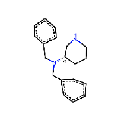 c1ccc(CN(Cc2ccccc2)[C@H]2CCCNC2)cc1